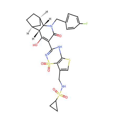 O=C1C(C2=NS(=O)(=O)c3c(CNS(=O)(=O)C4CC4)csc3N2)=C(O)[C@@H]2[C@H]3CC[C@H](C3)[C@@H]2N1Cc1ccc(F)cc1